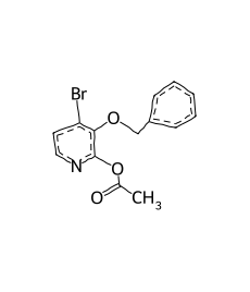 CC(=O)Oc1nccc(Br)c1OCc1ccccc1